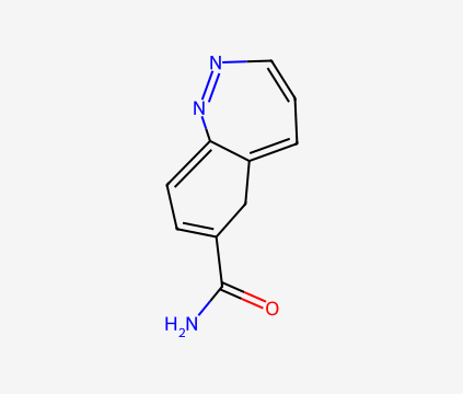 NC(=O)C1=CC=C2N=NC=CC=C2C1